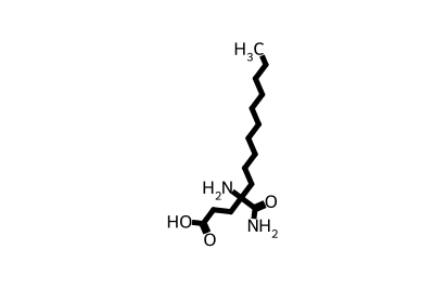 CCCCCCCCCCC(N)(CCC(=O)O)C(N)=O